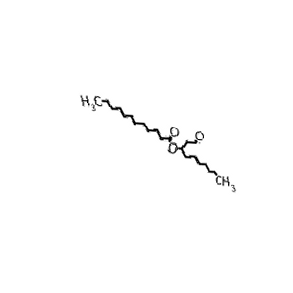 CCCCCCCCCCCC(=O)OC(C[C]=O)CCCCCCC